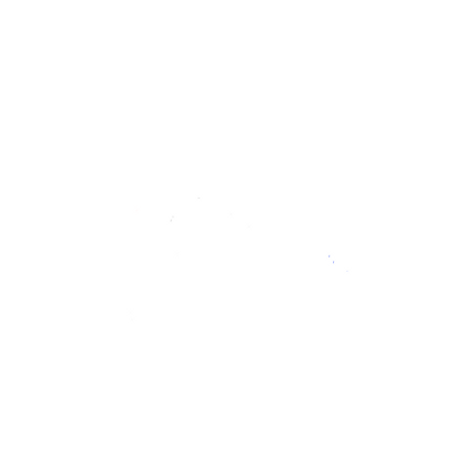 [CH2]CC(OCCCN)C(=O)C(=C)C